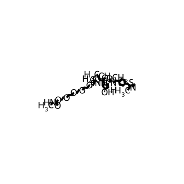 CNC(=O)OCCOCCOCCOCCOCC(=O)N[C@H](C(=O)N1C[C@H](O)C[C@H]1C(=O)N[C@@H](C)c1ccc(-c2scnc2C)cc1)C(C)(C)C